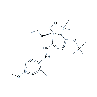 CCC[C@@]1(C(=O)NNc2ccc(OC)cc2C)COC(C)(C)N1C(=O)OC(C)(C)C